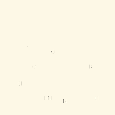 CC(C)(C)C(=O)OC(=C(Br)c1ccccc1)c1c(CCl)n[nH]c1CCl